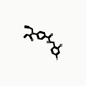 C#CCN(C(=O)C=C)c1ccc(C(=O)NCc2ccc(I)cc2Cl)cc1